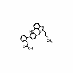 CCCCc1nc2cccc(O)c2n1Cc1ccc(-c2ccccc2OC(=O)O)cc1